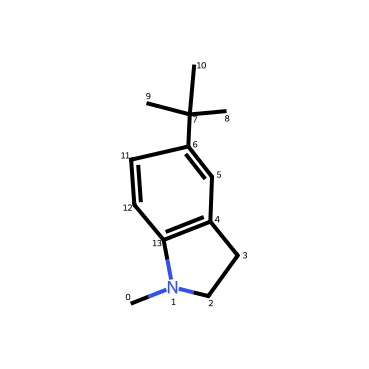 CN1CCc2cc(C(C)(C)C)ccc21